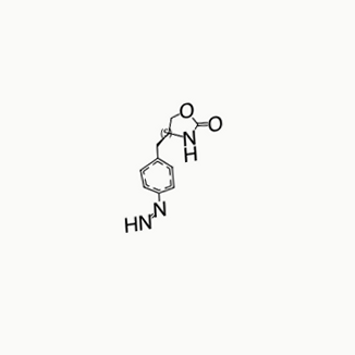 N=Nc1ccc(C[C@H]2COC(=O)N2)cc1